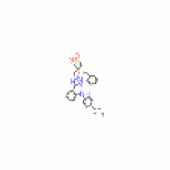 O=S1(=O)C=CC(Cn2nnc(-c3ccccc3Nc3ccc(C(F)(F)F)cc3)n2)(OCc2ccccc2)C1